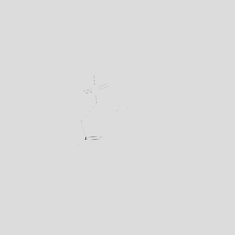 O=C([O-])CCS(=O)(=O)[O-].[Zn+2]